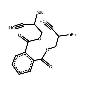 C#CC(CCCC)COC(=O)c1ccccc1C(=O)OCC(C#C)CCCC